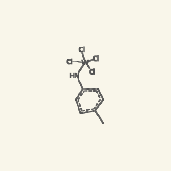 Cc1ccc([NH][W]([Cl])([Cl])([Cl])[Cl])cc1